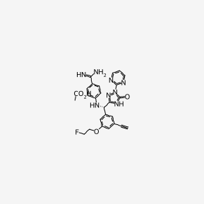 C#Cc1cc(OCCF)cc([C@H](Nc2ccc(C(=N)N)cc2)c2nn(-c3ncccn3)c(=O)[nH]2)c1.CC(=O)O